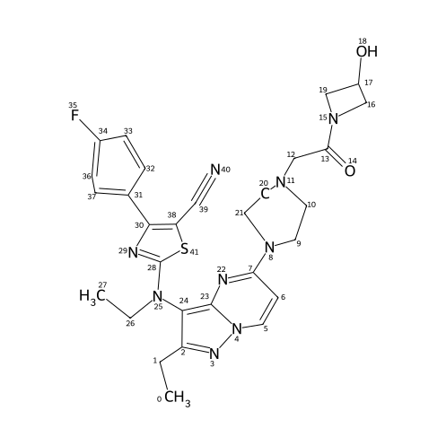 CCc1nn2ccc(N3CCN(CC(=O)N4CC(O)C4)CC3)nc2c1N(CC)c1nc(-c2ccc(F)cc2)c(C#N)s1